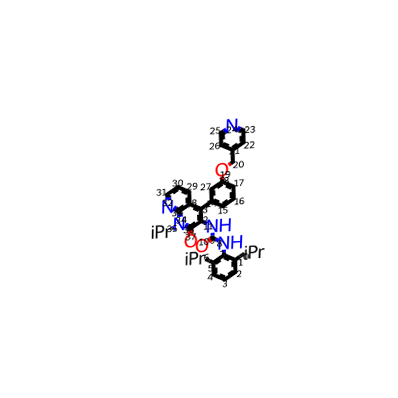 CC(C)c1cccc(C(C)C)c1NC(=O)Nc1c(-c2cccc(OCc3ccncc3)c2)c2cccnc2n(C(C)C)c1=O